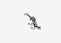 Cc1cc(C(C)N2Cc3c(ccnc3C(=O)NCCCO)C2=O)nnc1OCC(F)(F)F